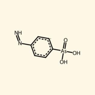 N=Nc1c[c]c([As](=O)(O)O)cc1